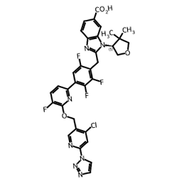 CC1(C)COC[C@H]1n1c(Cc2c(F)cc(-c3ccc(F)c(OCc4cnc(-n5ccnn5)cc4Cl)n3)c(F)c2F)nc2ccc(C(=O)O)cc21